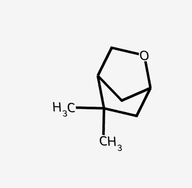 CC1(C)CC2CC1CO2